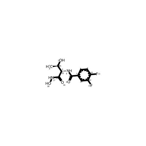 C[C@@H](O)[C@H](NC(=O)c1ccc(F)c(F)c1)C(=O)NO